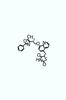 Cc1oc(-c2ccccc2)nc1CCOc1ccc(CC2SC(=O)NC2=O)c2cccnc12